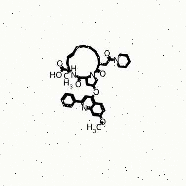 COc1ccc2c(OC3CC4C(=O)NC(C)(C(=O)O)C/C=C/CCCCCC(CC(=O)N5CCCCC5)C(=O)N4C3)cc(-c3ccccc3)nc2c1